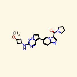 CO[C@H]1C[C@@H](Nc2ncc3c(-c4ccc5ncc(C(=O)N6CCCC6)n5c4)ccn3n2)C1